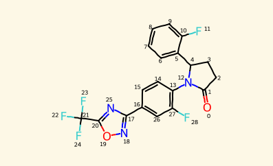 O=C1CCC(c2ccccc2F)N1c1ccc(-c2noc(C(F)(F)F)n2)cc1F